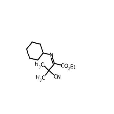 CCOC(=O)C(=NC1CCCCC1)C(C)(C)C#N